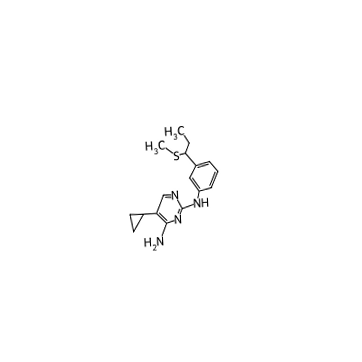 CCC(SC)c1cccc(Nc2ncc(C3CC3)c(N)n2)c1